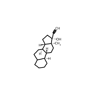 C#C[C@]1(O)CC[C@H]2[C@@H]3CCC4CCCC[C@@H]4[C@H]3CC[C@@]21C